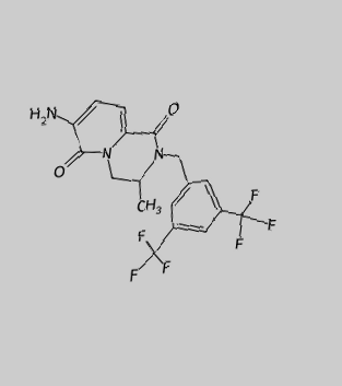 CC1Cn2c(ccc(N)c2=O)C(=O)N1Cc1cc(C(F)(F)F)cc(C(F)(F)F)c1